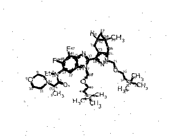 CCN(C(=O)[C@H](C)N1CCOCC1)c1cc2c(nc(-c3nn(COCC[Si](C)(C)C)c4c3C[C@@H]3C[C@]3(C)C4)n2COCC[Si](C)(C)C)c(F)c1F